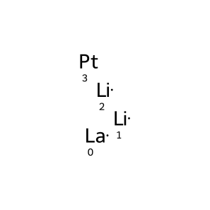 [La].[Li].[Li].[Pt]